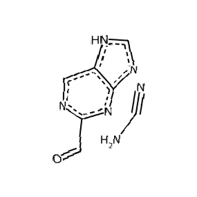 N#CN.O=Cc1ncc2[nH]cnc2n1